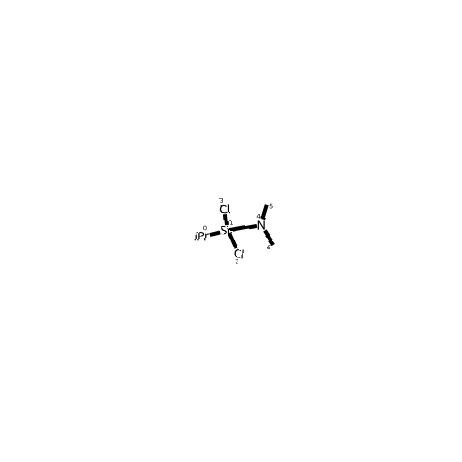 CC(C)[Si](Cl)(Cl)N(C)C